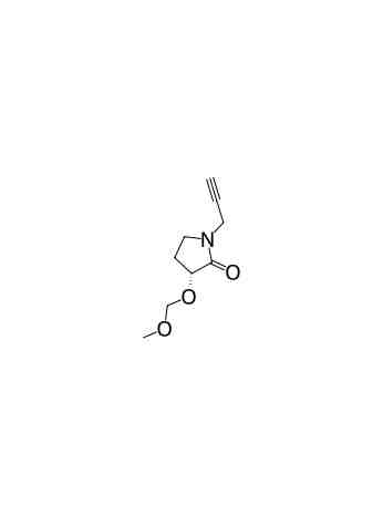 C#CCN1CC[C@@H](OCOC)C1=O